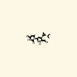 CC(C)[C@H]1C[C@@H]1C1=CC(n2ccc(=O)[nH]c2=O)=NNC1=C=O